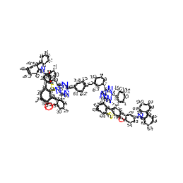 c1ccc(-c2nc(-c3cccc(-c4ccc(-c5nc(-c6ccccc6)nc(-c6cccc7oc8ccc9c%10cc(-n%11c%12ccccc%12c%12ccccc%12%11)ccc%10sc9c8c67)n5)cc4)c3)nc(-c3cccc4sc5c(ccc6c7cc(-n8c9ccccc9c9ccccc98)ccc7oc65)c34)n2)cc1